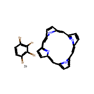 Brc1ccc(Br)c(Br)c1Br.C1=Cc2cc3ccc(cc4nc(cc5ccc(cc1n2)[nH]5)C=C4)[nH]3.[Zn]